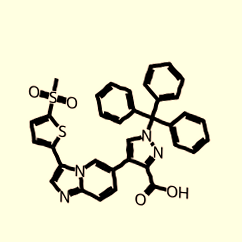 CS(=O)(=O)c1ccc(-c2cnc3ccc(-c4cn(C(c5ccccc5)(c5ccccc5)c5ccccc5)nc4C(=O)O)cn23)s1